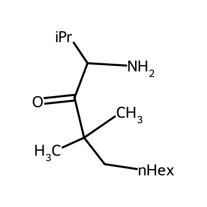 CCCCCCCC(C)(C)C(=O)C(N)C(C)C